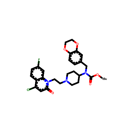 CC(C)(C)OC(=O)N(Cc1ccc2c(c1)OCCO2)C1CCN(CCn2c(=O)cc(Cl)c3ccc(F)cc32)CC1